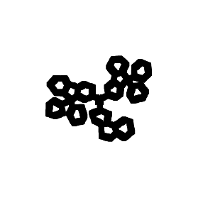 c1ccc(C2(c3ccccc3)c3ccccc3-c3cc(N(c4ccc5c(c4)C(c4ccccc4)(c4ccccc4)c4ccccc4-5)c4ccc5ccc6ccccc6c5c4)ccc32)cc1